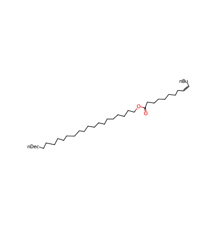 CCCC/C=C\CCCCCCCC(=O)OCCCCCCCCCCCCCCCCCCCCCCCCCCCCC